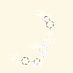 COc1ccc(-c2cc(CN3CCN(C[C@@H](O)COc4ccc5sc(C)nc5c4)[C@@H](C)C3)on2)cc1